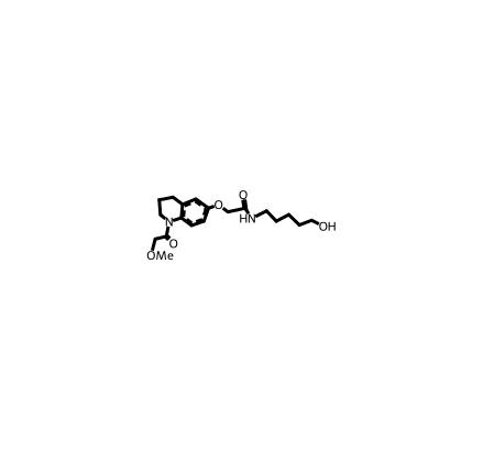 COCC(=O)N1CCCc2cc(OCC(=O)NCCCCCO)ccc21